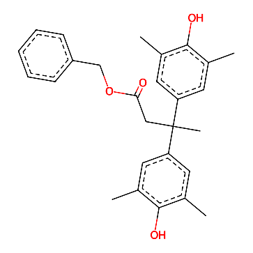 Cc1cc(C(C)(CC(=O)OCc2ccccc2)c2cc(C)c(O)c(C)c2)cc(C)c1O